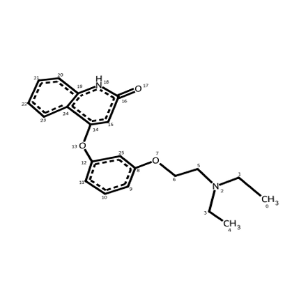 CCN(CC)CCOc1cccc(Oc2cc(=O)[nH]c3ccccc23)c1